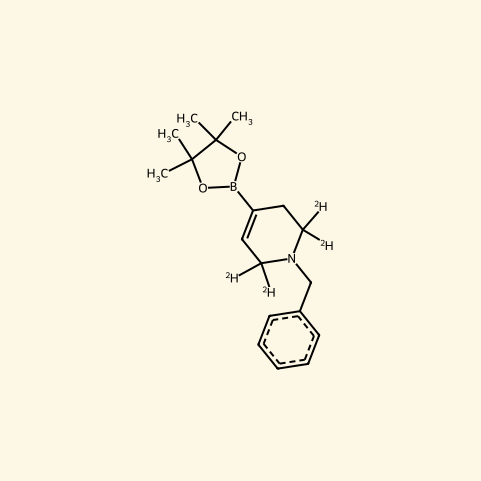 [2H]C1([2H])C=C(B2OC(C)(C)C(C)(C)O2)CC([2H])([2H])N1Cc1ccccc1